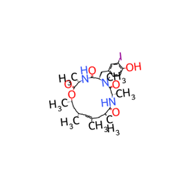 C/C1=C\[C@H](C)C[C@H](C)OC(=O)[C@H](C)NC(=O)[C@@H](Cc2ccc(O)c(I)c2)N(C)C(=O)[C@H](C)NC(=O)[C@@H](C)C1